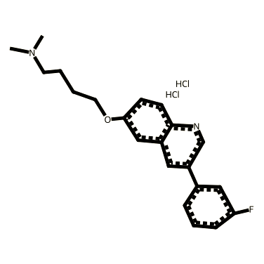 CN(C)CCCCOc1ccc2ncc(-c3cccc(F)c3)cc2c1.Cl.Cl